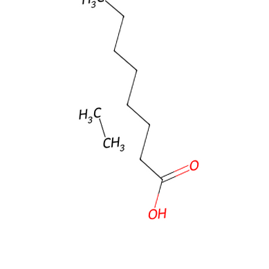 CC.CCCCCCCC(=O)O